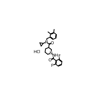 Cc1cccc(CN(C(=O)C2CCCN(NC(=O)c3c(F)cccc3F)C2)C2CC2)c1C.Cl